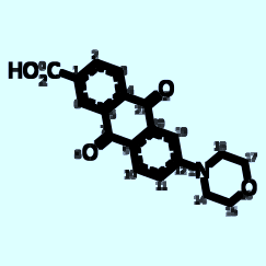 O=C(O)c1ccc2c(c1)C(=O)c1ccc(N3CCOCC3)cc1C2=O